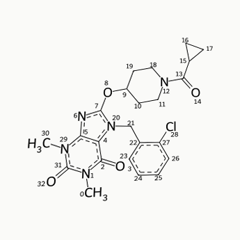 Cn1c(=O)c2c(nc(OC3CCN(C(=O)C4CC4)CC3)n2Cc2ccccc2Cl)n(C)c1=O